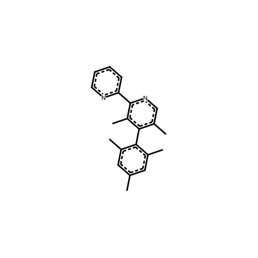 Cc1cc(C)c(-c2c(C)cnc(-c3ccccn3)c2C)c(C)c1